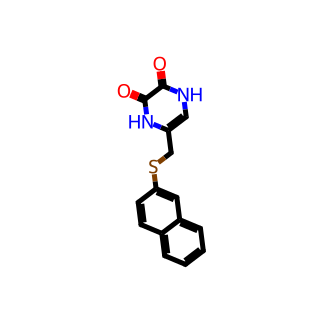 O=c1[nH]cc(CSc2ccc3ccccc3c2)[nH]c1=O